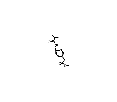 CC(C)C(=O)NCc1ccc(CC(=O)O)cc1